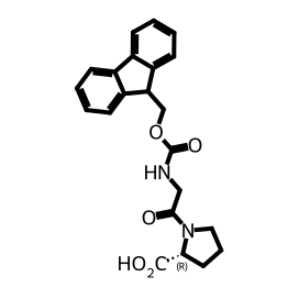 O=C(NCC(=O)N1CCC[C@@H]1C(=O)O)OCC1c2ccccc2-c2ccccc21